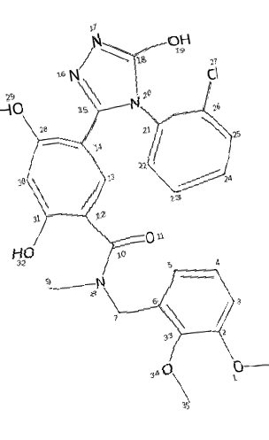 COc1cccc(CN(C)C(=O)c2cc(-c3nnc(O)n3-c3ccccc3Cl)c(O)cc2O)c1OC